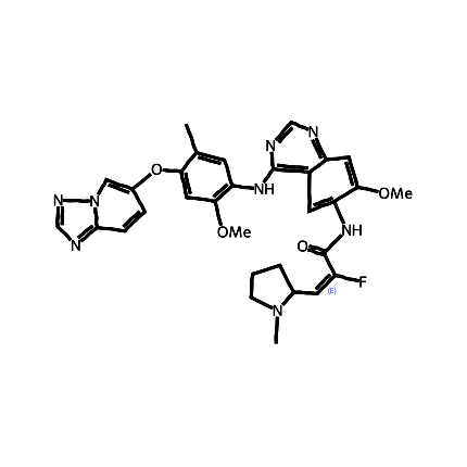 COc1cc2ncnc(Nc3cc(C)c(Oc4ccc5ncnn5c4)cc3OC)c2cc1NC(=O)/C(F)=C\C1CCCN1C